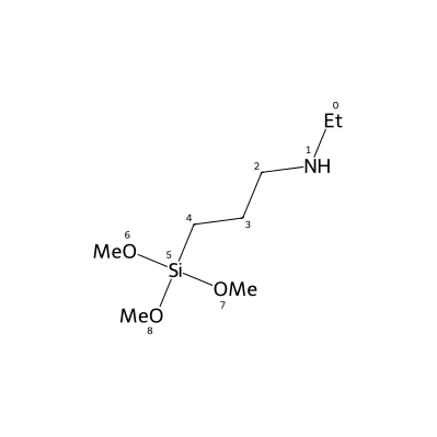 [CH2]CNCCC[Si](OC)(OC)OC